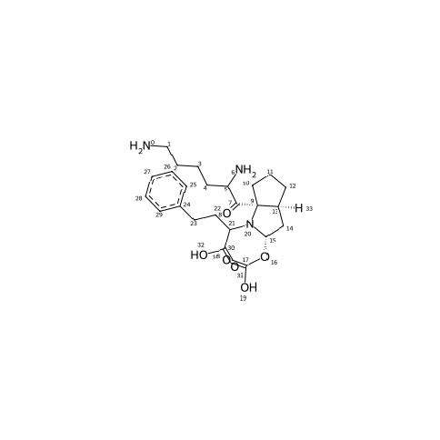 NCCCCC(N)C(=O)[C@]12CCC[C@H]1C[C@H](OC(=O)O)N2C(CCc1ccccc1)C(=O)O